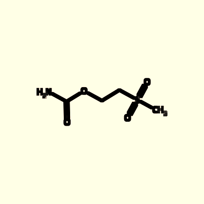 CS(=O)(=O)CCOC(N)=O